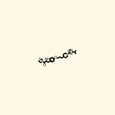 CC(C)c1noc(N2CCC(CCCOc3ccc(CC(N)C(=O)N4CCSC4)cc3)CC2)n1